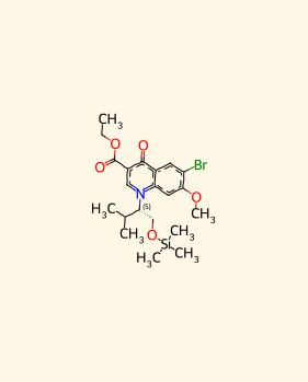 CCOC(=O)c1cn([C@H](CO[Si](C)(C)C)C(C)C)c2cc(OC)c(Br)cc2c1=O